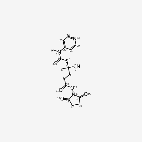 CN(C(=S)SC(C)(C#N)CCC(=O)ON1C(=O)CCC1=O)c1ccncc1